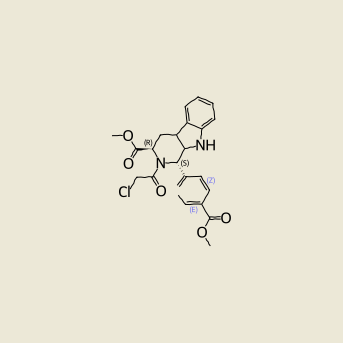 C=C(/C=C\C(=C/C)C(=O)OC)[C@H]1C2Nc3ccccc3C2C[C@H](C(=O)OC)N1C(=O)CCl